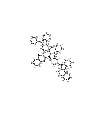 c1ccc(-n2c3ccccc3c3ccc(-c4nc5ccccc5nc4-n4c5ccc(-n6c7ccccc7c7c8ccccc8ccc76)cc5c5c6ccccc6ccc54)cc32)cc1